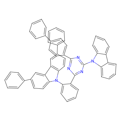 c1ccc(-c2ccc(-c3nc(-c4ccccc4-n4c5ccc(-c6ccccc6)cc5c5cc(-c6ccccc6)ccc54)nc(-n4c5ccccc5c5ccccc54)n3)cc2)cc1